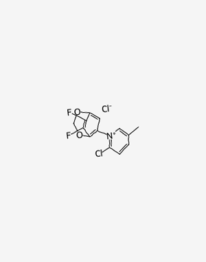 Cc1ccc(Cl)[n+](-c2cc3c(F)c(F)c2OCO3)c1.[Cl-]